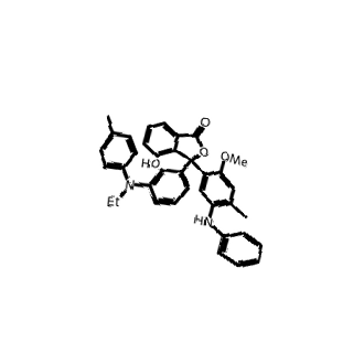 CCN(c1ccc(C)cc1)c1cccc(C2(c3cc(Nc4ccccc4)c(C)cc3OC)OC(=O)c3ccccc32)c1O